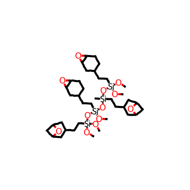 CO[Si](CCC1CCC2OC2C1)(OC)O[Si](C)(CCC1CC2CC(C1)O2)O[Si](CCC1CCC2OC2C1)(OC)O[Si](CCC1CC2CC(C1)O2)(OC)OC